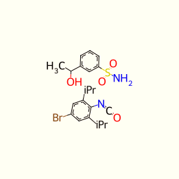 CC(C)c1cc(Br)cc(C(C)C)c1N=C=O.CC(O)c1cccc(S(N)(=O)=O)c1